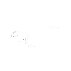 CCCCCCCCCCCCCCCCCC(=O)OC(c1cnco1)c1nc(CCCCCC)co1